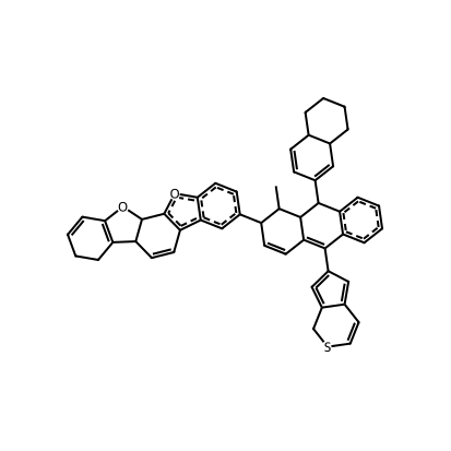 CC1C(c2ccc3oc4c(c3c2)C=CC2C3=C(C=CCC3)OC42)C=CC2=C(C3=C=C4CSC=CC4=C3)c3ccccc3C(C3=CC4CCCCC4C=C3)C21